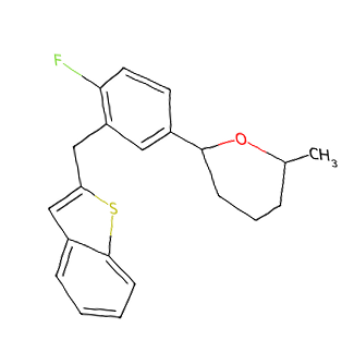 CC1CCCC(c2ccc(F)c(Cc3cc4ccccc4s3)c2)O1